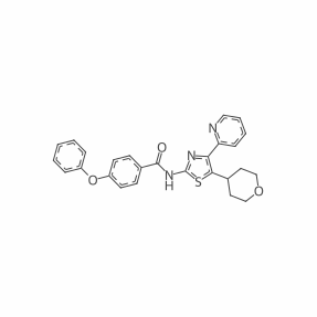 O=C(Nc1nc(-c2ccccn2)c(C2CCOCC2)s1)c1ccc(Oc2ccccc2)cc1